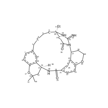 CC[C@]12CCCCc3ccc4c(c3)[C@H](CC(C)(C)O4)NC(=O)c3ccc4c(c3)C(CCO4)N(C(=N)N1)C(=O)C2